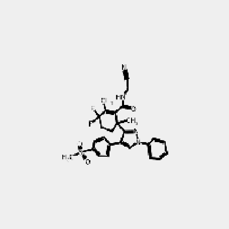 CC1=C(C(=O)NCC#N)C(C)(c2nn(-c3ccccc3)cc2-c2ccc(S(C)(=O)=O)cc2)CCC1(F)F